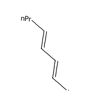 [CH2]C=CC=CCC[CH2]